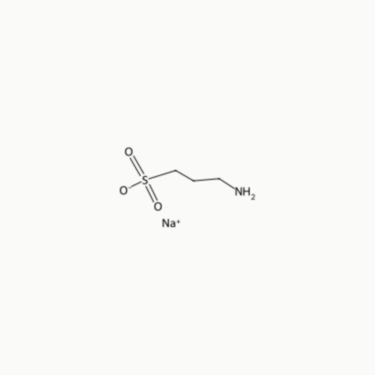 NCCCS(=O)(=O)[O-].[Na+]